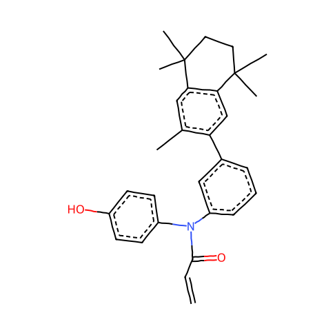 C=CC(=O)N(c1ccc(O)cc1)c1cccc(-c2cc3c(cc2C)C(C)(C)CCC3(C)C)c1